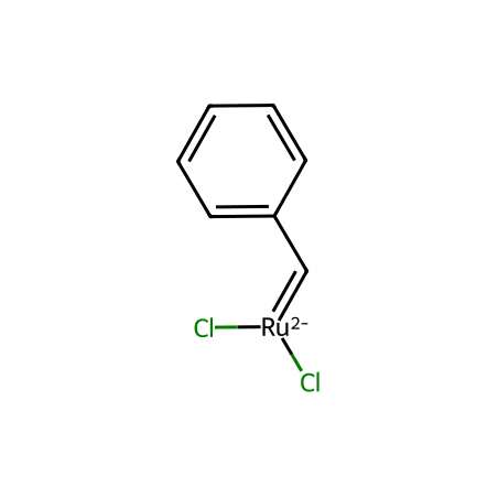 [Cl][Ru-2]([Cl])=[CH]c1ccccc1